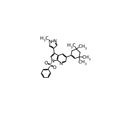 Cn1cc(-c2cn(S(=O)(=O)c3ccccc3)c3ncc(C4=CC(C)(C)CC(C)(C)C4)cc23)cn1